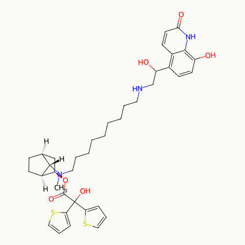 CN(CCCCCCCCCNCC(O)c1ccc(O)c2[nH]c(=O)ccc12)[C@H]1[C@H]2CC[C@@H]1[C@H](OC(=O)C(O)(c1cccs1)c1cccs1)C2